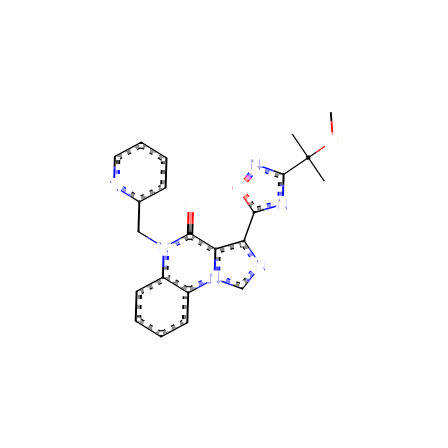 COC(C)(C)c1noc(-c2ncn3c2c(=O)n(Cc2ccccn2)c2ccccc23)n1